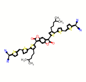 CC(C)CCCc1cc(C2=c3cc4c(cc3OC2=O)=C(c2cc(CCCC(C)C)c(-c3ccc(/C=c5\ccc(=C(C#N)C#N)s5)s3)s2)C(=O)O4)sc1-c1ccc(/C=c2\ccc(=C(C#N)C#N)s2)s1